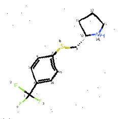 FC(F)(F)c1ccc(SC[C@@H]2CCCN2)cc1